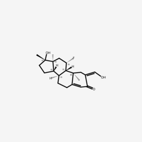 C[C@]12CC(=CO)C(=O)C=C1CC[C@@H]1[C@@H]2[C@@H](F)C[C@@]2(C)[C@H]1CC[C@]2(C)O